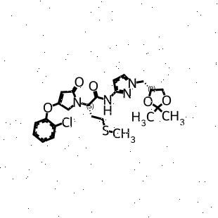 CSCC[C@@H](C(=O)Nc1ccn(C[C@@H]2COC(C)(C)O2)n1)N1CC(Oc2ccccc2Cl)=CC1=O